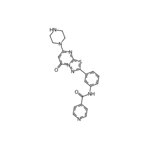 O=C(Nc1cccc(-c2nn3c(=O)cc(N4CCNCC4)nc3s2)c1)c1ccncc1